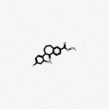 COC(=O)c1ccc2c(c1)CCCC(C1=CC=C(F)CC1C)C2=O